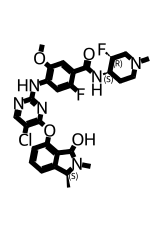 COc1cc(C(=O)N[C@H]2CCN(C)C[C@H]2F)c(F)cc1Nc1ncc(Cl)c(Oc2cccc3c2C(O)N(C)[C@H]3C)n1